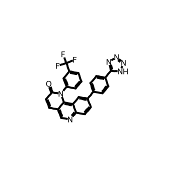 O=c1ccc2cnc3ccc(-c4ccc(-c5nnn[nH]5)cc4)cc3c2n1-c1cccc(C(F)(F)F)c1